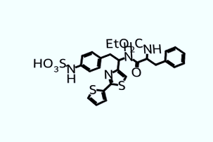 CCOC(=O)NC(Cc1ccccc1)C(=O)NC(Cc1ccc(NS(=O)(=O)O)cc1)c1csc(-c2cccs2)n1